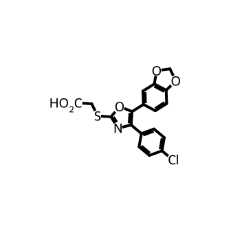 O=C(O)CSc1nc(-c2ccc(Cl)cc2)c(-c2ccc3c(c2)OCO3)o1